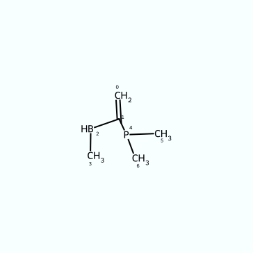 C=C(BC)P(C)C